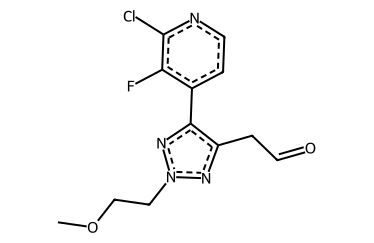 COCCn1nc(CC=O)c(-c2ccnc(Cl)c2F)n1